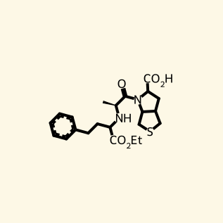 CCOC(=O)C(CCc1ccccc1)N[C@@H](C)C(=O)N1C(C(=O)O)CC2CSCC21